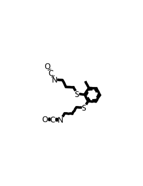 Cc1cccc(SCCCN=C=O)c1SCCCN=C=O